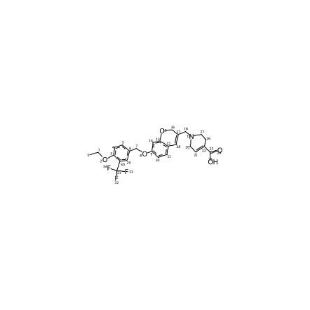 CCOc1ccc(COc2ccc3c(c2)OCC(CN2CC=C(C(=O)O)CC2)=C3)cc1C(F)(F)F